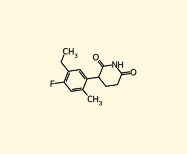 CCc1cc(C2CCC(=O)NC2=O)c(C)cc1F